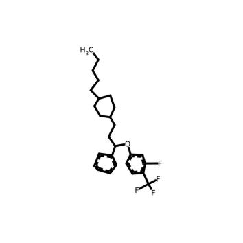 CCCCCC1CCC(CCC(Oc2ccc(C(F)(F)F)c(F)c2)c2ccccc2)CC1